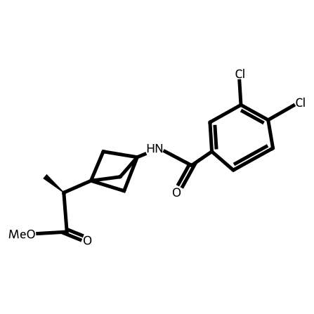 COC(=O)[C@@H](C)C12CC(NC(=O)c3ccc(Cl)c(Cl)c3)(C1)C2